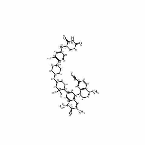 Cc1cc2c(N3CCN(C)c4ccc(C#N)cc43)cc(C3CCN(CC4CCN(c5ccc(NC6CCC(=O)NC6=O)cc5F)CC4)CC3(F)F)cc2n(C)c1=O